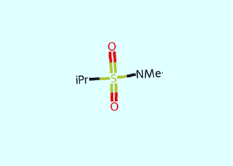 C[N]S(=O)(=O)C(C)C